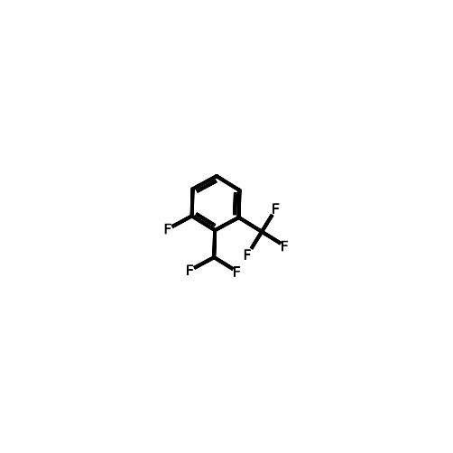 Fc1cccc(C(F)(F)F)c1C(F)F